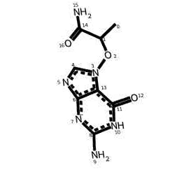 CC(On1cnc2nc(N)[nH]c(=O)c21)C(N)=O